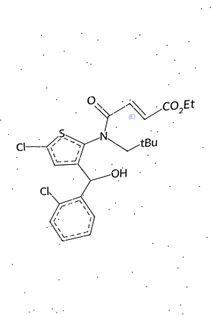 CCOC(=O)/C=C/C(=O)N(CC(C)(C)C)c1sc(Cl)cc1C(O)c1ccccc1Cl